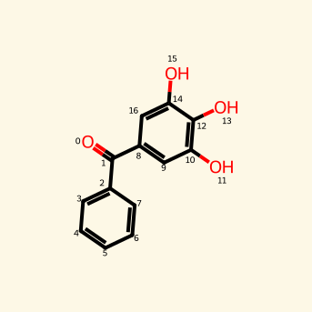 O=C(c1ccccc1)c1cc(O)c(O)c(O)c1